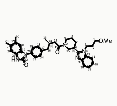 COCCCn1c([C@@H]2CCCN(C(=O)C[C@H](C)Cc3ccc(-n4c(=O)[nH]c5cc(C)c(C)cc54)cc3)C2)nc2ccccc21